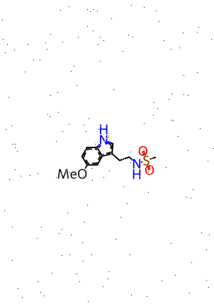 COc1ccc2[nH]cc(CCNS(C)(=O)=O)c2c1